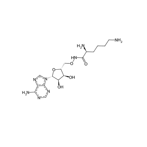 NCCCC[C@H](N)C(=O)NOC[C@H]1O[C@@H](n2cnc3c(N)ncnc32)[C@H](O)[C@@H]1O